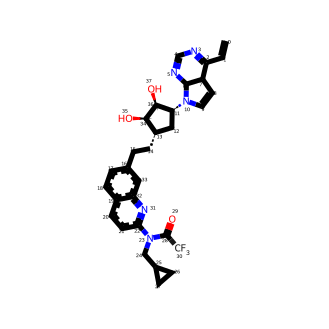 C=CC1=NC=NC2C1C=CN2[C@@H]1C[C@H](CCc2ccc3ccc(N(CC4CC4)C(=O)C(F)(F)F)nc3c2)[C@@H](O)[C@H]1O